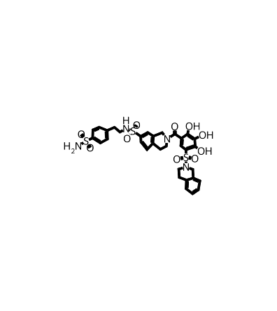 NS(=O)(=O)c1ccc(CCNS(=O)(=O)c2ccc3c(c2)CN(C(=O)c2cc(S(=O)(=O)N4CCc5ccccc5C4)c(O)c(O)c2O)CC3)cc1